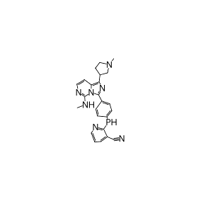 CNc1nccc2c(C3CCN(C)C3)nc(-c3ccc(Pc4ncccc4C#N)cc3)n12